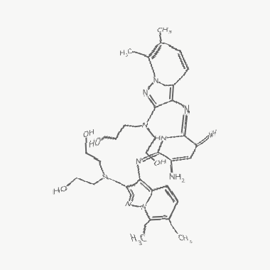 Cc1ccc2c(/N=C3\N/C(=N/c4c(N(CCO)CCO)nn5c(C)c(C)ccc45)C(N)=CC3=N)c(N(CCO)CCO)nn2c1C